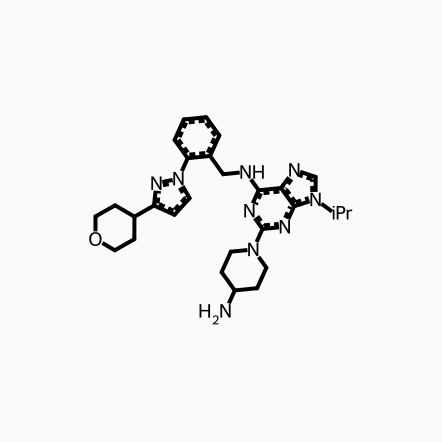 CC(C)n1cnc2c(NCc3ccccc3-n3ccc(C4CCOCC4)n3)nc(N3CCC(N)CC3)nc21